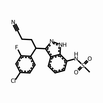 CS(=O)(=O)Nc1cccc2c(C(CCC#N)c3ccc(Cl)cc3F)n[nH]c12